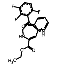 CCOC(=O)C1=CC23C(=CCN1)C=CC=C2NCC3C(=O)c1c(F)ccc(F)c1F